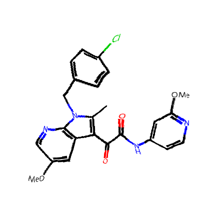 COc1cnc2c(c1)c(C(=O)C(=O)Nc1ccnc(OC)c1)c(C)n2Cc1ccc(Cl)cc1